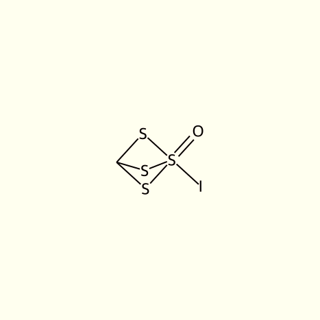 O=S12(I)SC(S1)S2